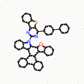 c1ccc(-c2ccc(-c3nc(-n4c5ccccc5c5c6c7ccccc7c7ccccc7c6c6c7ccccc7oc6c54)nc4c3sc3ccccc34)cc2)cc1